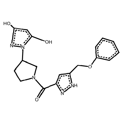 O=C(c1cc(COc2ccccc2)[nH]n1)N1CCC(n2nc(O)cc2O)C1